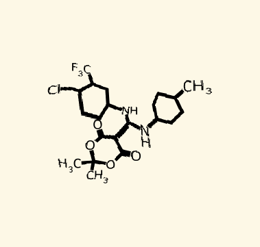 CC1CCC(NC(NC2CCC(Cl)C(C(F)(F)F)C2)=C2C(=O)OC(C)(C)OC2=O)CC1